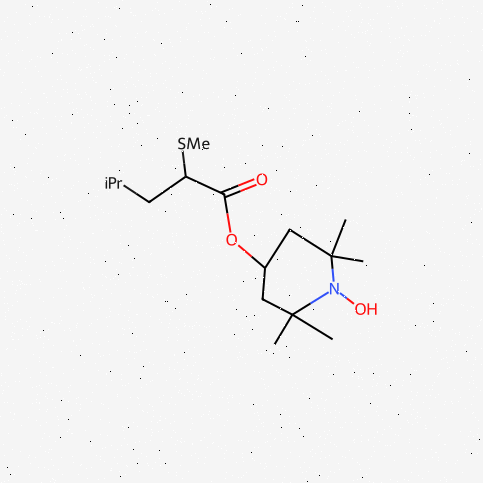 CSC(CC(C)C)C(=O)OC1CC(C)(C)N(O)C(C)(C)C1